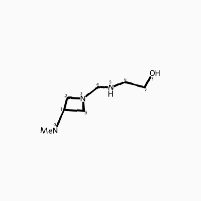 CNC1CN(CNCCO)C1